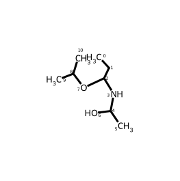 CCC(NC(C)O)OC(C)C